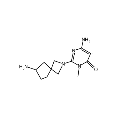 Cn1c(N2CC3(CCC(N)C3)C2)nc(N)[c]c1=O